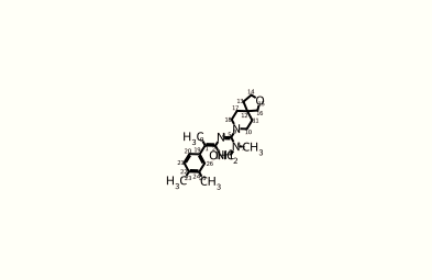 C/C(=C(N)\N=C(/N(C)C=O)N1CCC2(CCOC2)CC1)c1ccc(C)c(C)c1